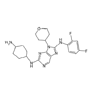 NC1CCC(Nc2ncc3nc(Nc4ccc(F)cc4F)n(C4CCOCC4)c3n2)CC1